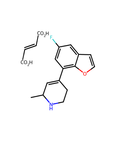 CC1C=C(c2cc(F)cc3ccoc23)CCN1.O=C(O)C=CC(=O)O